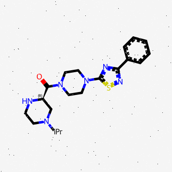 CC(C)N1CCN[C@@H](C(=O)N2CCN(c3nc(-c4ccccc4)ns3)CC2)C1